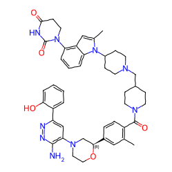 Cc1cc([C@@H]2CN(c3cc(-c4ccccc4O)nnc3N)CCO2)ccc1C(=O)N1CCC(CN2CCC(n3c(C)cc4c(N5CCC(=O)NC5=O)cccc43)CC2)CC1